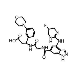 O=C(O)CC(NC(=O)CNC(=O)c1cc(NC2=NCC(F)CN2)c2cn[nH]c2c1)c1cccc(N2CCOCC2)c1